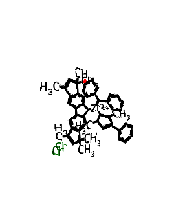 CC1=CC(C)(C)c2cc3c(cc21)-c1cc2c(cc1[CH]3[Zr+2]([C]1=C(C)C(c3ccccc3)=CC1C)=[C](c1ccccc1)c1ccccc1)C(C)(C)C=C2C.[Cl-].[Cl-]